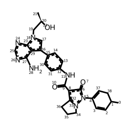 CC1C=CC(n2c(=O)c(C(=O)Nc3ccc(-c4cn(C[C@@H](C)O)c5ncnc(N)c45)cc3)c3n2CCC3)=CC1